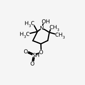 CC1(C)CC(O[SH](=O)=O)CC(C)(C)N1O